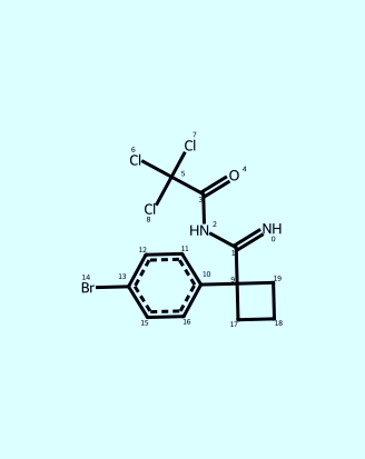 N=C(NC(=O)C(Cl)(Cl)Cl)C1(c2ccc(Br)cc2)CCC1